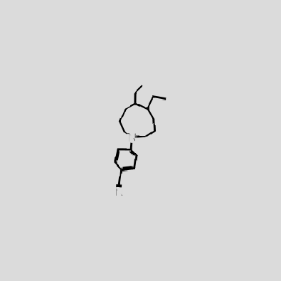 CCC1CCCN(c2ccc(C#N)cc2)CCCC1CC